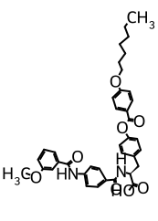 CCCCCCCOc1ccc(C(=O)Oc2ccc(C[C@H](NC(=O)c3ccc(NC(=O)c4cccc(OC)c4)cc3)C(=O)O)cc2)cc1